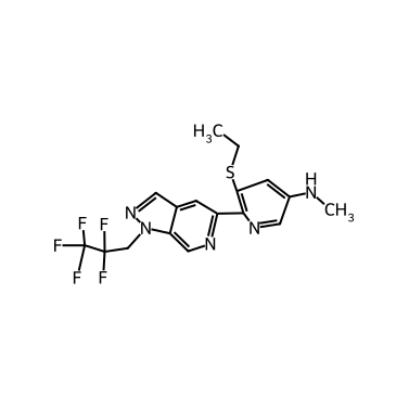 CCSc1cc(NC)cnc1-c1cc2cnn(CC(F)(F)C(F)(F)F)c2cn1